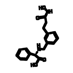 O=C(CCc1cccc(CN[C@H](C(=O)O)c2ccccc2)c1)NO